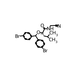 CC(C)C[C@H](OC(c1ccc(Br)cc1)c1ccc(Br)cc1)C(=O)NCC#N